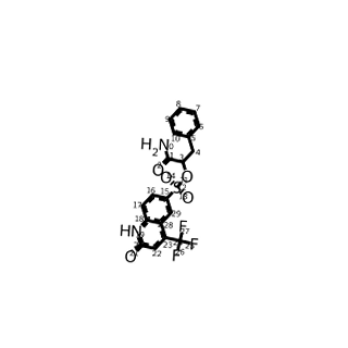 NC(=O)C(Cc1ccccc1)OS(=O)(=O)c1ccc2[nH]c(=O)cc(C(F)(F)F)c2c1